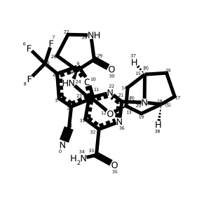 N#Cc1cc(C(F)(F)F)ccc1O[C@H]1C[C@H]2CC[C@@H](C1)N2c1nc(N[C@H]2CCNC2=O)cc(C(N)=O)n1